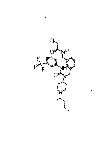 CCCC(C)N1CCC(N(Cc2cccc(CNC(=O)CCl)c2)C(=O)Nc2cccc(C(F)(F)F)c2)CC1